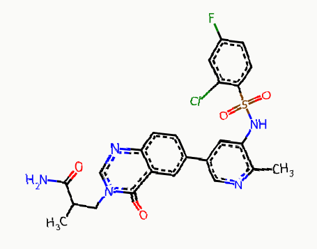 Cc1ncc(-c2ccc3ncn(CC(C)C(N)=O)c(=O)c3c2)cc1NS(=O)(=O)c1ccc(F)cc1Cl